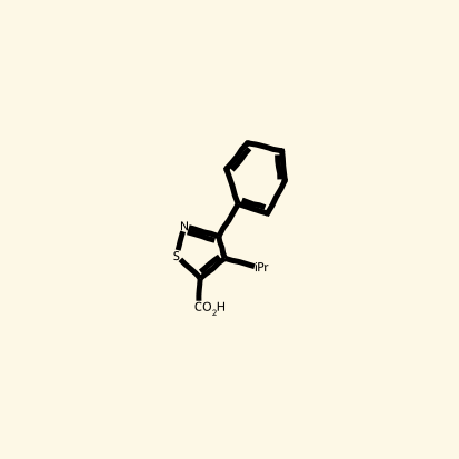 CC(C)c1c(-c2ccccc2)nsc1C(=O)O